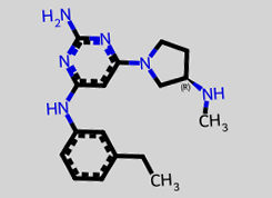 CCc1cccc(Nc2cc(N3CC[C@@H](NC)C3)nc(N)n2)c1